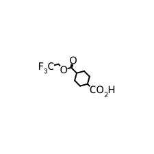 O=C(O)C1CCC(C(=O)OCC(F)(F)F)CC1